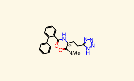 CNC(=O)[C@H](CCc1nnn[nH]1)NC(=O)c1ccccc1-c1ccccc1